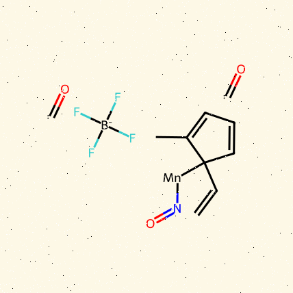 C=C[C]1([Mn][N]=O)C=CC=C1C.F[B-](F)(F)F.[C]=O.[C]=O